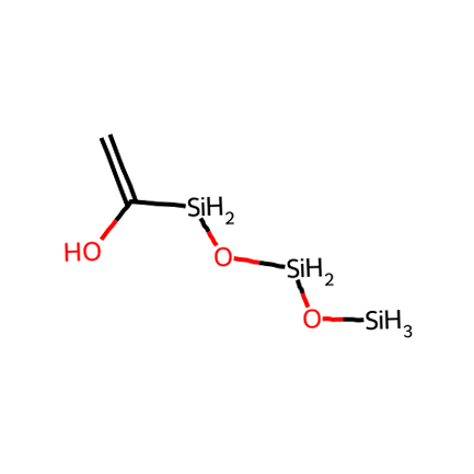 C=C(O)[SiH2]O[SiH2]O[SiH3]